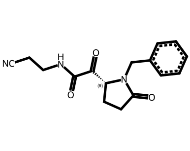 N#CCCNC(=O)C(=O)[C@H]1CCC(=O)N1Cc1ccccc1